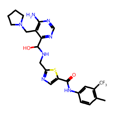 Cc1ccc(NC(=O)c2cnc(CNC(O)c3ncnc(N)c3CN3CCCC3)s2)cc1C(F)(F)F